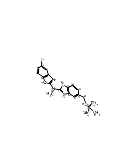 CN(c1nc2cc(F)ccc2o1)c1nc2cc(CO[Si](C)(C)C(C)(C)C)ccc2o1